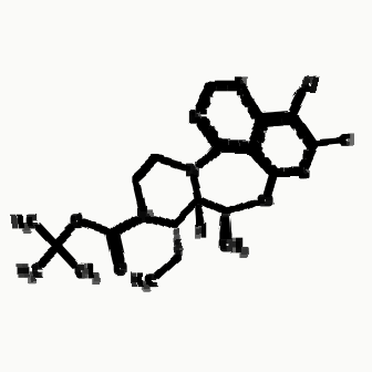 CC[C@H]1[C@H]2[C@H](C)Oc3nc(Cl)c(Cl)c4ncnc(c34)N2CCN1C(=O)OC(C)(C)C